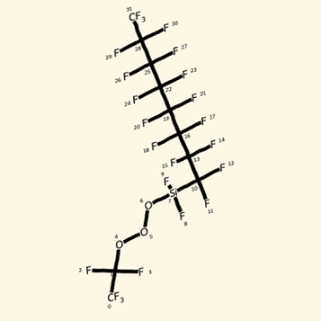 FC(F)(F)C(F)(F)OOO[Si](F)(F)C(F)(F)C(F)(F)C(F)(F)C(F)(F)C(F)(F)C(F)(F)C(F)(F)C(F)(F)F